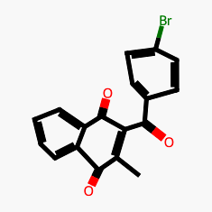 CC1=C(C(=O)c2ccc(Br)cc2)C(=O)c2ccccc2C1=O